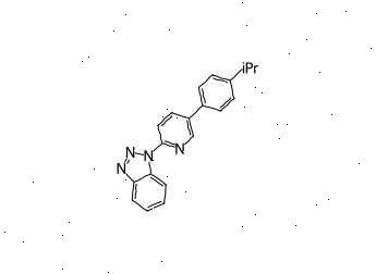 CC(C)c1ccc(-c2ccc(-n3nnc4ccccc43)nc2)cc1